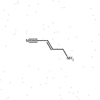 N#CC=CCN